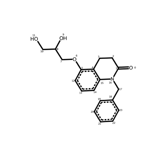 O=C1CCc2c(OCC(O)CO)cccc2N1Cc1ccccc1